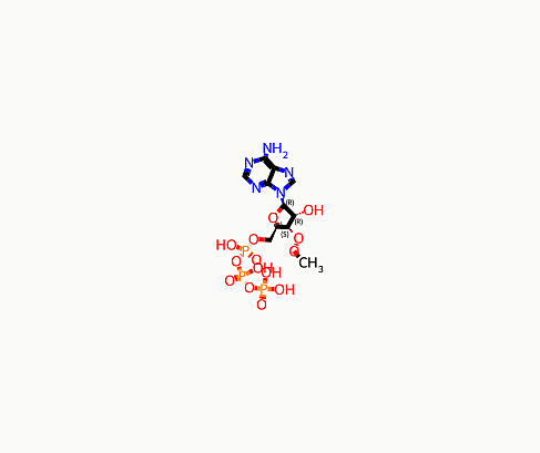 COO[C@H]1[C@@H](O)[C@H](n2cnc3c(N)ncnc32)O[C@@H]1COP(=O)(O)OP(=O)(O)OP(=O)(O)O